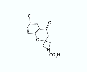 O=C1CC2(CN(C(=O)O)C2)Oc2ccc(Cl)cc21